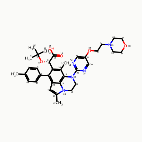 Cc1ccc(-c2c([C@H](OC(C)(C)C)C(=O)O)c(C)c3c4c2cc(C)n4CCN3c2ncc(OCCN3CCOCC3)cn2)cc1